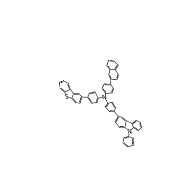 c1ccc(-n2c3ccccc3c3cc(-c4ccc(N(c5ccc(-c6ccc7ccccc7c6)cc5)c5ccc(-c6ccc7sc8ccccc8c7c6)cc5)cc4)ccc32)cc1